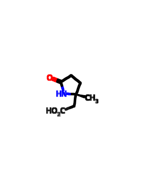 C[C@]1(CC(=O)O)CCC(=O)N1